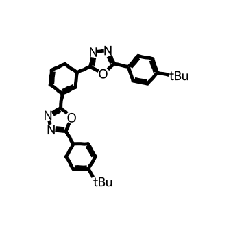 CC(C)(C)C1=CCC(c2nnc(C3=CC(c4nnc(-c5ccc(C(C)(C)C)cc5)o4)CC=C3)o2)C=C1